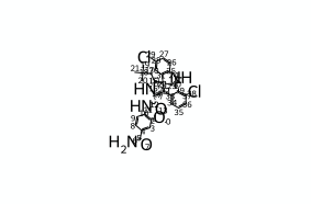 COc1cc(C(N)=O)ccc1NC(=O)[C@@H]1N[C@@H](CC(C)(C)C)[C@@]2(CNc3ccc(Cl)cc32)[C@H]1c1cccc(Cl)c1F